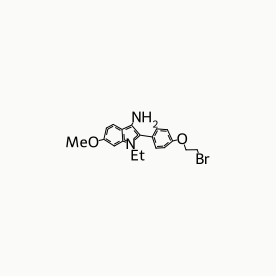 CCn1c(-c2ccc(OCCBr)cc2)c(N)c2ccc(OC)cc21